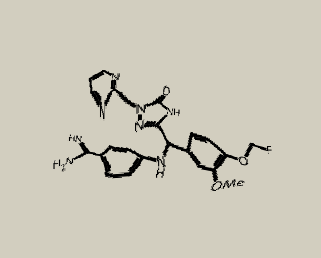 COc1cc(C(Nc2ccc(C(=N)N)cc2)c2nn(-c3ncccn3)c(=O)[nH]2)ccc1OCF